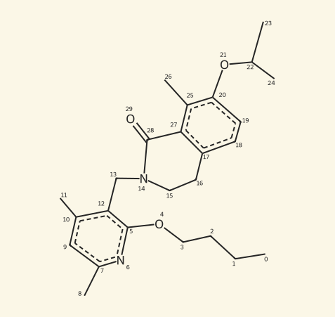 CCCCOc1nc(C)cc(C)c1CN1CCc2ccc(OC(C)C)c(C)c2C1=O